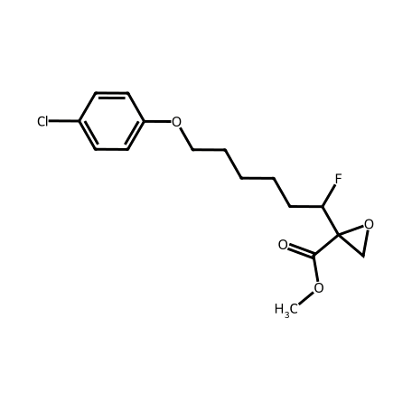 COC(=O)C1(C(F)CCCCCOc2ccc(Cl)cc2)CO1